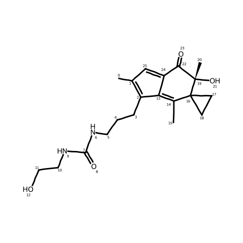 CC1=C(CCCNC(=O)NCCO)C2=C(C)C3(CC3)[C@@](C)(O)C(=O)C2=C1